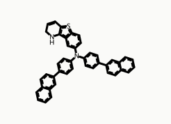 C1=Cc2sc3ccc(N(c4ccc(-c5ccc6ccccc6c5)cc4)c4ccc(-c5ccc6ccccc6c5)cc4)cc3c2NC1